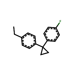 CCc1ccc(C2(c3ccc(F)cc3)CC2)cc1